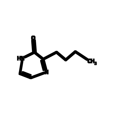 CCCCc1ncc[nH]c1=O